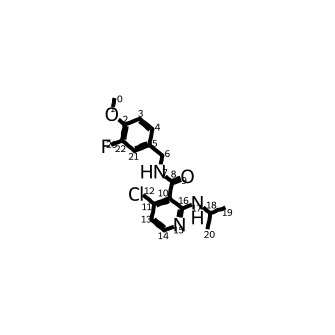 COc1ccc(CNC(=O)c2c(Cl)ccnc2NC(C)C)cc1F